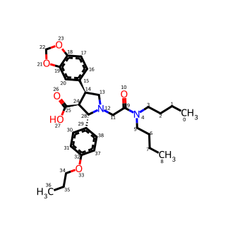 CCCCN(CCCC)C(=O)CN1C[C@H](c2ccc3c(c2)OCO3)[C@H](C(=O)O)[C@H]1c1ccc(OCCC)cc1